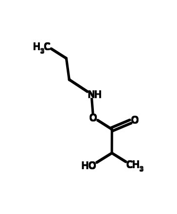 CCCNOC(=O)C(C)O